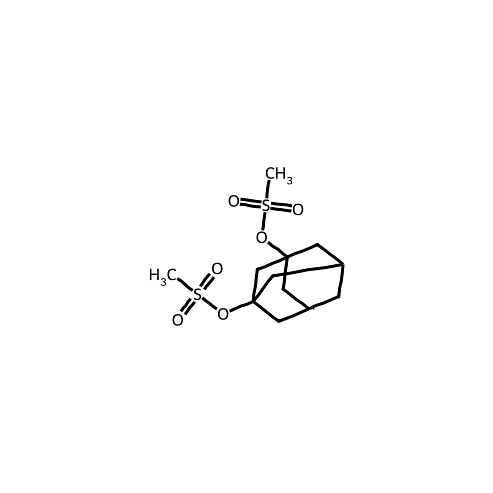 CS(=O)(=O)OC12C[C]3CC(C1)CC(OS(C)(=O)=O)(C3)C2